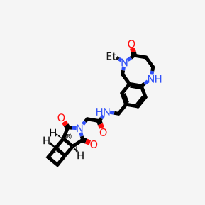 CCN1Cc2cc(CNC(=O)CN3C(=O)[C@@H]4[C@H]5CCC5[C@@H]4C3=O)ccc2NCCC1=O